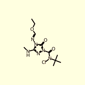 CCOC=Nn1c(NC)nn(C(=O)N(Cl)C(C)(C)C)c1=O